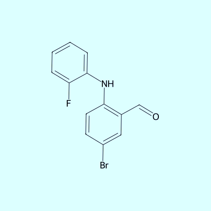 O=Cc1cc(Br)ccc1Nc1ccccc1F